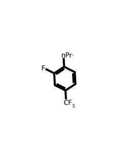 CC[CH]c1ccc(C(F)(F)F)cc1F